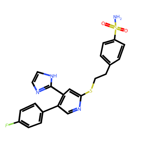 NS(=O)(=O)c1ccc(CCSc2cc(-c3ncc[nH]3)c(-c3ccc(F)cc3)cn2)cc1